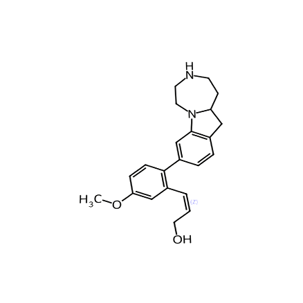 COc1ccc(-c2ccc3c(c2)N2CCNCCC2C3)c(/C=C\CO)c1